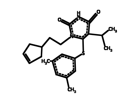 Cc1cc(C)cc(Sc2c(C(C)C)c(=O)[nH]c(=O)n2CCC2CC=CC2)c1